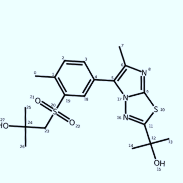 Cc1ccc(-c2c(C)nc3sc(C(C)(C)O)nn23)cc1S(=O)(=O)CC(C)(C)O